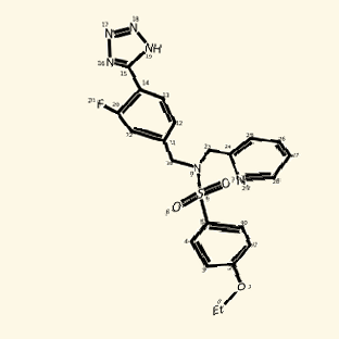 CCOc1ccc(S(=O)(=O)N(Cc2ccc(-c3nnn[nH]3)c(F)c2)Cc2ccccn2)cc1